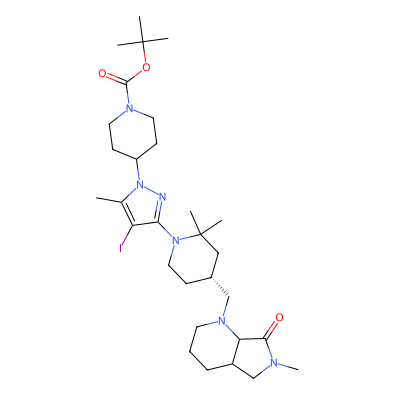 Cc1c(I)c(N2CC[C@@H](CN3CCCC4CN(C)C(=O)C43)CC2(C)C)nn1C1CCN(C(=O)OC(C)(C)C)CC1